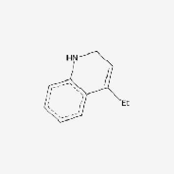 [CH2]CC1=CCNc2ccccc21